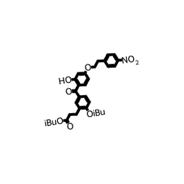 CC(C)COC(=O)CCc1cc(C(=O)c2ccc(OCCc3ccc([N+](=O)[O-])cc3)cc2O)ccc1OCC(C)C